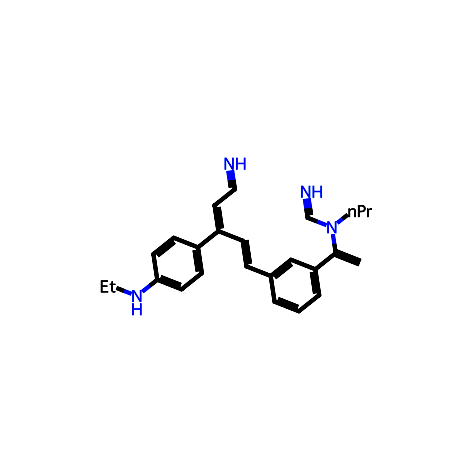 C=C(c1cccc(/C=C/C(=C\C=N)c2ccc(NCC)cc2)c1)N(C=N)CCC